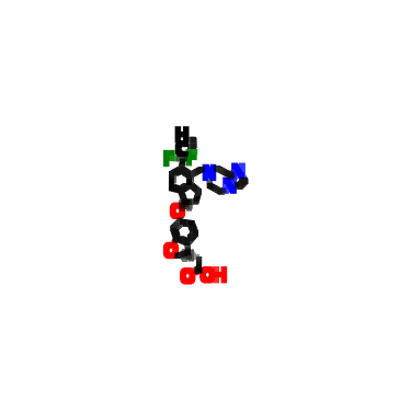 CC(F)(F)c1ccc2c(c1CN1CCn3ccnc3C1)CC[C@H]2Oc1ccc2c(c1)OC[C@H]2CC(=O)O